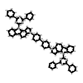 c1ccc(-c2nc(-c3ccccc3)nc(-n3c4ccccc4c4ccc5c(ccn5-c5ccc(-c6ccc(-n7ccc8c7ccc7c9ccccc9n(-c9nc(-c%10ccccc%10)nc(-c%10ccccc%10)n9)c78)cc6)cc5)c43)n2)cc1